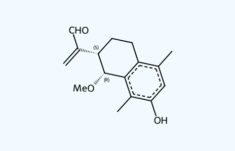 C=C(C=O)[C@@H]1CCc2c(C)cc(O)c(C)c2[C@@H]1OC